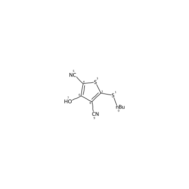 CCCCSc1sc(C#N)c(O)c1C#N